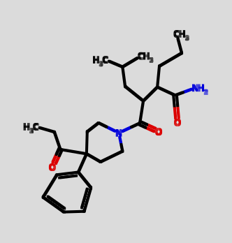 CCCC(C(N)=O)C(CC(C)C)C(=O)N1CCC(C(=O)CC)(c2ccccc2)CC1